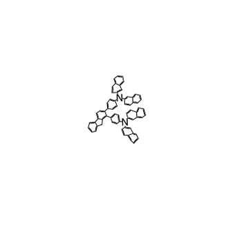 c1ccc2c(c1)Cc1c-2ccc(-c2ccc(N(c3ccc4ccccc4c3)c3ccc4ccccc4c3)cc2)c1-c1ccc(N(c2ccc3ccccc3c2)c2ccc3ccccc3c2)cc1